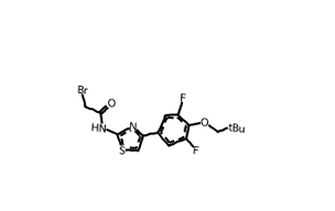 CC(C)(C)COc1c(F)cc(-c2csc(NC(=O)CBr)n2)cc1F